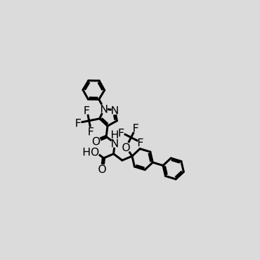 O=C(NC(CC1(OC(F)(F)F)C=CC(c2ccccc2)=CC1)C(=O)O)c1cnn(-c2ccccc2)c1C(F)(F)F